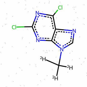 [2H]C([2H])([2H])n1cnc2c(Cl)nc(Cl)nc21